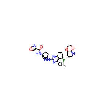 Cc1nc(NC23CCC(NC(=O)c4cocn4)(CC2)C3)nc2ccc(-c3ccnc4c3OCCO4)c(F)c12